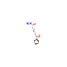 NC(=O)CSCCSC(=O)c1ccccc1